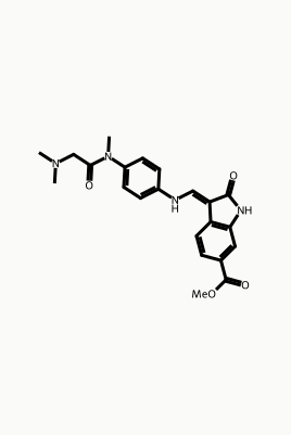 COC(=O)c1ccc2c(c1)NC(=O)/C2=C/Nc1ccc(N(C)C(=O)CN(C)C)cc1